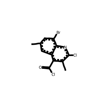 Cc1cc(Br)c2nc(Cl)c(C)c(C(=O)Cl)c2c1